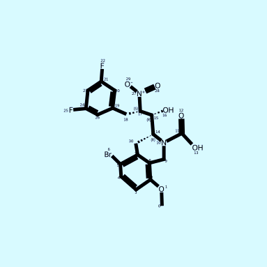 COc1ccc(Br)c2c1CN(C(=O)O)[C@@H]([C@@H](O)[C@H](Cc1cc(F)cc(F)c1)[N+](=O)[O-])C2